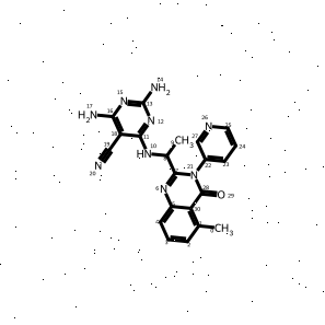 Cc1cccc2nc(C(C)Nc3nc(N)nc(N)c3C#N)n(-c3cccnc3)c(=O)c12